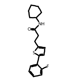 O=C(CCc1ccc(-c2ccccc2F)s1)NC1CCCCC1